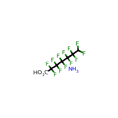 N.O=C(O)C(F)(F)C(F)(F)C(F)(F)C(F)(F)C(F)(F)C(F)F